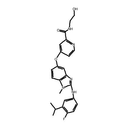 CC(C)c1cc(Nc2nc3cc(Oc4ccnc(C(=O)NCCO)c4)ccc3n2C)ccc1F